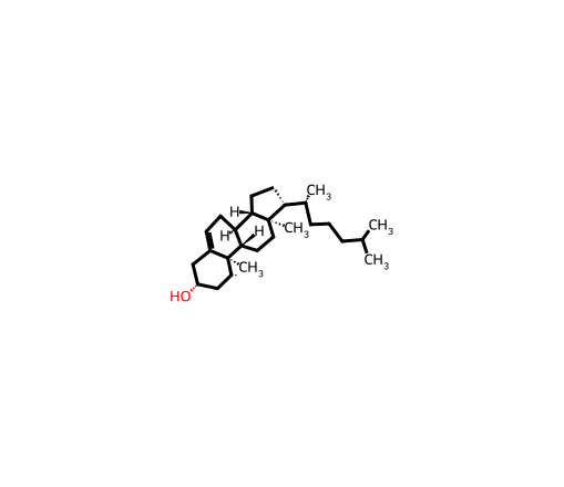 CC(C)CCC[C@@H](C)[C@H]1CC[C@H]2[C@@H]3CC=C4C[C@@H](O)C[CH][C@]4(C)[C@H]3CC[C@]12C